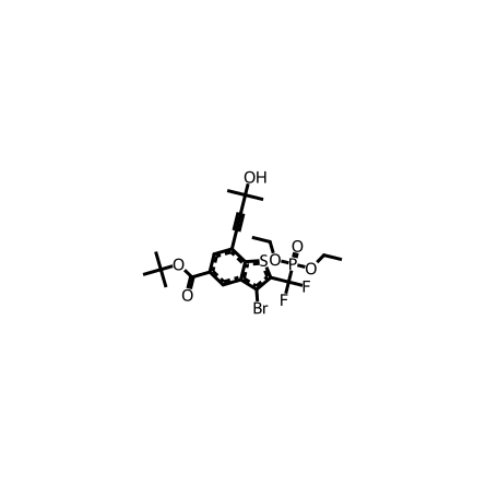 CCOP(=O)(OCC)C(F)(F)c1sc2c(C#CC(C)(C)O)cc(C(=O)OC(C)(C)C)cc2c1Br